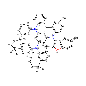 Cc1cc(C(C)(C)C)ccc1N1c2cc(N(c3ccccc3)c3ccccc3)cc3c2B(c2ccc4c(c2N3c2ccc3c(c2)C(C)(C)CCC3(C)C)C(C)(C)CCC4(C)C)c2oc3ccc(C(C)(C)C)cc3c21